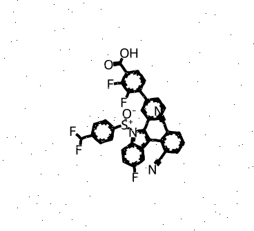 N#Cc1cccc(C#N)c1-c1c(-c2cccc(-c3ccc(C(=O)O)c(F)c3F)c2)n([S+]([O-])c2ccc(C(F)F)cc2)c2ccc(F)cc12